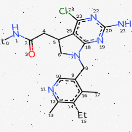 CCNC(=O)CC1CN(Cc2cnc(C)c(CC)c2C)c2nc(N)nc(Cl)c21